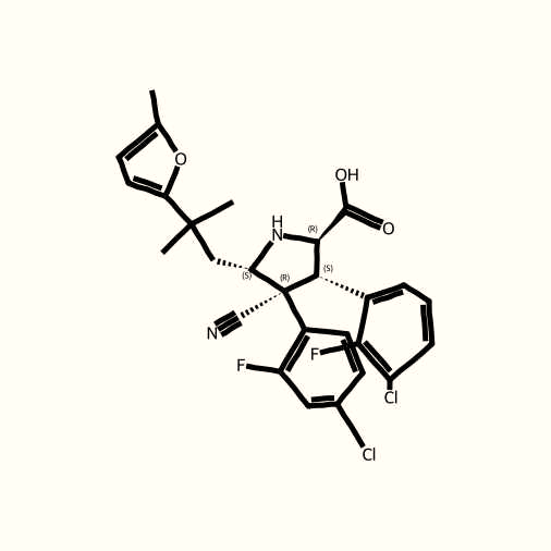 Cc1ccc(C(C)(C)C[C@@H]2N[C@@H](C(=O)O)[C@H](c3cccc(Cl)c3F)[C@@]2(C#N)c2ccc(Cl)cc2F)o1